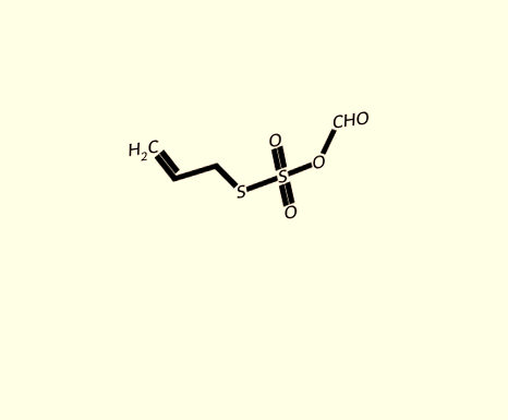 C=CCSS(=O)(=O)OC=O